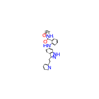 CC(C)ONC(=O)c1ccccc1Nc1ccc2c(C=Cc3ccccn3)n[nH]c2c1